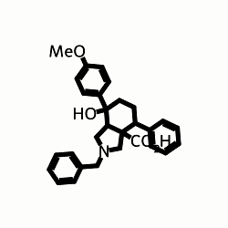 COc1ccc(C2(O)CCC(c3ccccc3)C3(C(=O)O)CN(Cc4ccccc4)CC23)cc1